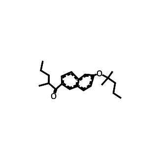 CCCC(C)C(=O)c1ccc2cc(OC(C)(C)CCC)ccc2c1